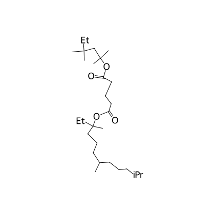 CCC(C)(C)CC(C)(C)OC(=O)CCCC(=O)OC(C)(CC)CCCC(C)CCCC(C)C